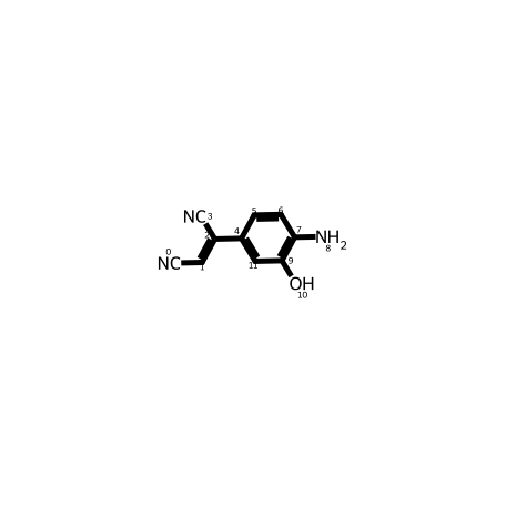 N#CC=C(C#N)c1ccc(N)c(O)c1